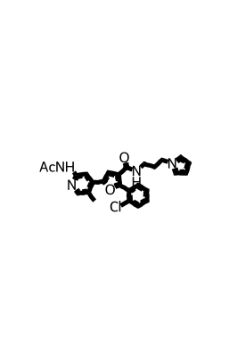 CC(=O)Nc1cc(-c2cc(C(=O)NCCCn3cccc3)c(-c3ccccc3Cl)o2)c(C)cn1